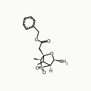 B[C@@H]1O[C@]2(CC(=O)OCc3ccccc3)C(C)[C@@H]1S(=O)(=O)[C@H]2C